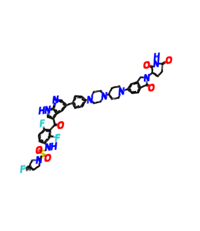 O=C1CCC(N2Cc3cc(N4CCC(N5CCN(c6ccc(-c7cnc8[nH]cc(C(=O)c9c(F)ccc(NS(=O)(=O)N%10CC[C@@H](F)C%10)c9F)c8c7)cc6)CC5)CC4)ccc3C2=O)C(=O)N1